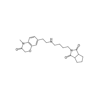 CN1C(=O)COc2cc(CCNCCCCN3C(=O)C4CCCC4C3=O)ccc21